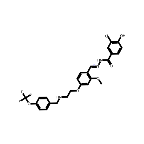 COc1cc(OCCNCc2ccc(OC(F)(F)F)cc2)ccc1/C=N/NC(=O)c1ccc(O)c(Cl)c1